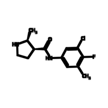 Cc1cc(NC(=O)[C@H]2CCN[C@H]2C)cc(Cl)c1F